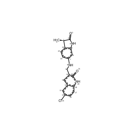 C[C@H]1C(=O)Nc2cc(NCc3cc4cc(Cl)ccc4[nH]c3=O)ccc21